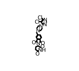 O=C1CCC(N2C(=O)c3ccc(CN4CCN(c5ncnc(Cl)c5Cl)CC4)cc3C2=O)C(=O)N1